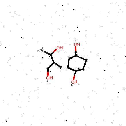 CCCC(O)C(CC)CO.OC1CCC(O)CC1